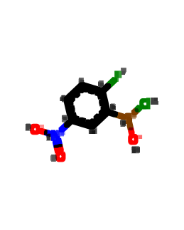 O=[N+]([O-])c1ccc(F)c([S+]([O-])Cl)c1